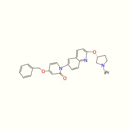 CC(C)N1CC[C@@H](Oc2ccc3cc(-n4ccc(OCc5ccccc5)cc4=O)ccc3n2)C1